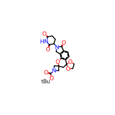 CC(C)(C)OC(=O)N1CC2(C1)CC1(OCCO1)c1ccc3c(c1O2)CN(C1CCC(=O)NC1=O)C3=O